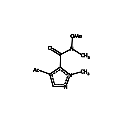 CON(C)C(=O)c1c(C(C)=O)cnn1C